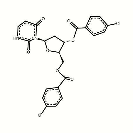 O=C(OC[C@H]1O[C@@H](n2c(=O)cc[nH]c2=O)C[C@@H]1OC(=O)c1ccc(Cl)cc1)c1ccc(Cl)cc1